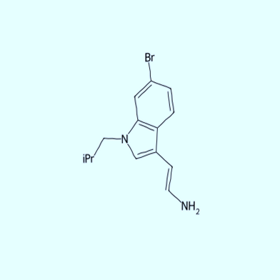 CC(C)Cn1cc(/C=C/N)c2ccc(Br)cc21